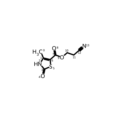 Cc1[nH]c(=O)sc1C(=O)OCCC#N